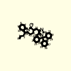 C=CCc1c2n(c3ccccc13)C(=O)C(=Cc1ncn(C(c3ccccc3)(c3ccccc3)c3ccccc3)c1C)CC2